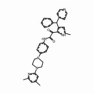 Cc1cc(C)nc(N2CCN(c3ccc(NC(=O)C(=O)c4[nH]c(C)cc4C(c4ccccc4)c4ccncc4)cc3)CC2)c1